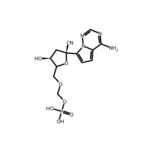 N#C[C@]1(c2ccc3c(N)ncnn23)C[C@H](O)C(COCOP(=O)(O)O)O1